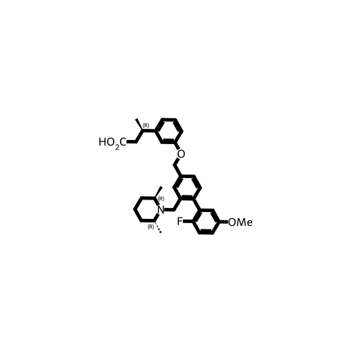 COc1ccc(F)c(-c2ccc(COc3cccc([C@H](C)CC(=O)O)c3)cc2CN2[C@H](C)CCC[C@H]2C)c1